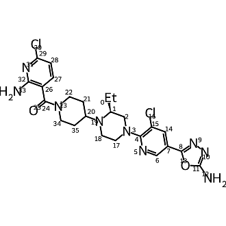 CC[C@H]1CN(c2ncc(-c3nnc(N)o3)cc2Cl)CCN1C1CCN(C(=O)c2ccc(Cl)nc2N)CC1